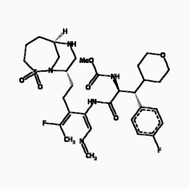 C=N/C=C(NC(=O)[C@@H](NC(=O)OC)[C@@H](c1ccc(F)cc1)C1CCOCC1)\C(CC[C@H]1CN[C@@H]2CCCS(=O)(=O)N1C2)=C(/C)F